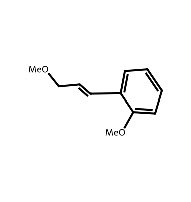 [CH2]OC/C=C/c1ccccc1OC